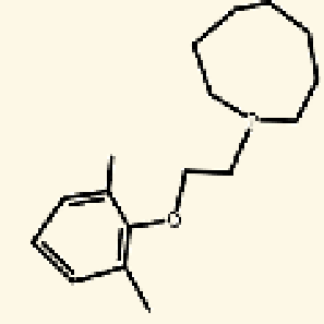 Cc1cccc(C)c1OCCP1CCCCCCC1